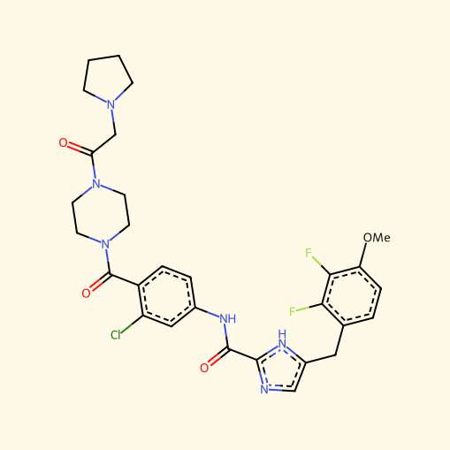 COc1ccc(Cc2cnc(C(=O)Nc3ccc(C(=O)N4CCN(C(=O)CN5CCCC5)CC4)c(Cl)c3)[nH]2)c(F)c1F